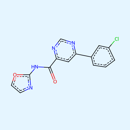 O=C(Nc1ncco1)c1cc(-c2cccc(Cl)c2)ncn1